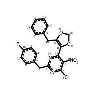 O=[N+]([O-])c1c(Cl)nc(Cc2ccc(F)cc2)nc1C1=C(Cc2ccccc2)OCO1